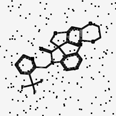 O=C1N(Cc2ncccc2C(F)(F)F)c2cccc(F)c2C12COc1cc3c(cc12)OCCO3